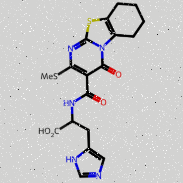 CSc1nc2sc3c(n2c(=O)c1C(=O)NC(Cc1cnc[nH]1)C(=O)O)CCCC3